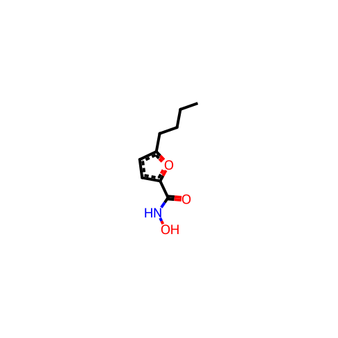 CCCCc1ccc(C(=O)NO)o1